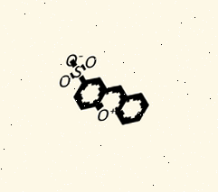 O=S(=O)([O-])c1ccc2[o+]c3ccccc3cc2c1